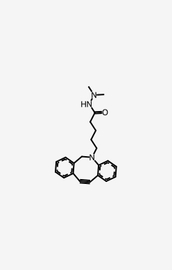 CN(C)NC(=O)CCCCN1Cc2ccccc2C#Cc2ccccc21